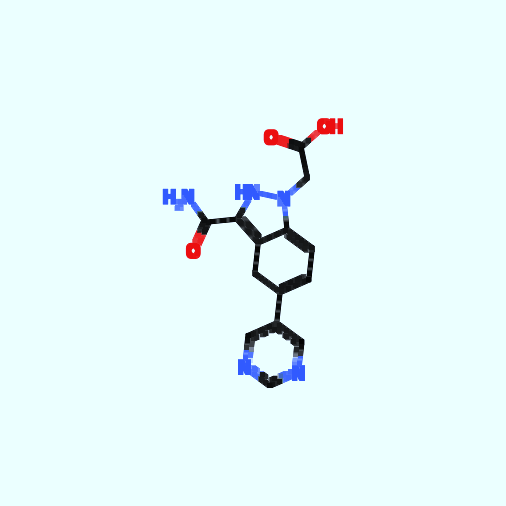 NC(=O)C1=C2CC(c3cncnc3)=CC=C2N(CC(=O)O)N1